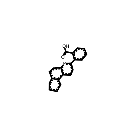 O=C(O)c1ccccc1-c1ccc2c(ccc3ccccc32)p1